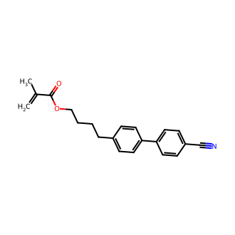 C=C(C)C(=O)OCCCCc1ccc(-c2ccc(C#N)cc2)cc1